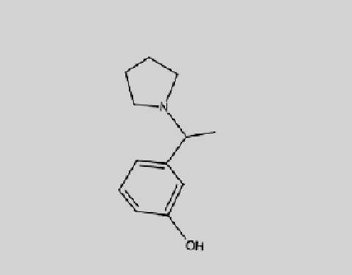 CC(c1cccc(O)c1)N1CCCC1